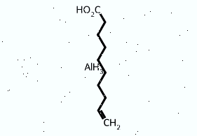 C=CCCCCCCCC(=O)O.[AlH3]